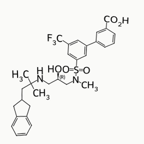 CN(C[C@H](O)CNC(C)(C)CC1Cc2ccccc2C1)S(=O)(=O)c1cc(-c2cccc(C(=O)O)c2)cc(C(F)(F)F)c1